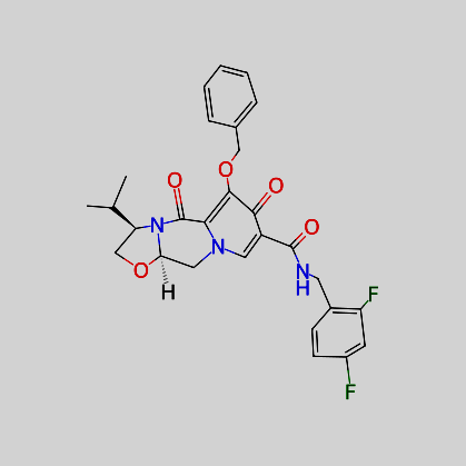 CC(C)[C@@H]1CO[C@@H]2Cn3cc(C(=O)NCc4ccc(F)cc4F)c(=O)c(OCc4ccccc4)c3C(=O)N21